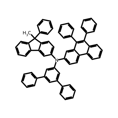 CC1(c2ccccc2)c2ccccc2-c2cc(N(c3cc(-c4ccccc4)cc(-c4ccccc4)c3)c3ccc4c(c3)c(-c3ccccc3)c(-c3ccccc3)c3ccccc34)ccc21